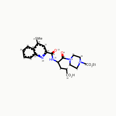 CCOC(=O)N1CCN(C(=O)C(CCC(=O)O)NC(=O)c2cc(SC)c3ccccc3n2)CC1